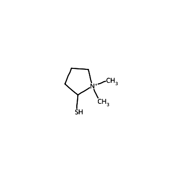 C[N+]1(C)CCCC1S